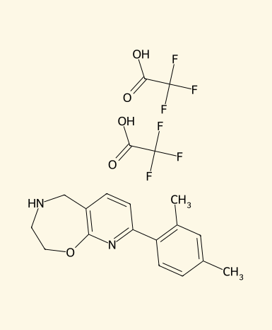 Cc1ccc(-c2ccc3c(n2)OCCNC3)c(C)c1.O=C(O)C(F)(F)F.O=C(O)C(F)(F)F